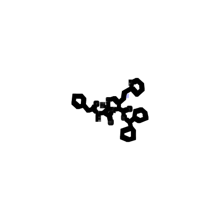 O=C(Cc1ccccc1)NC1C(=O)N2C(C(=O)OC(c3ccccc3)c3ccccc3)C(/C=C/c3ccccn3)=CS[C@H]12